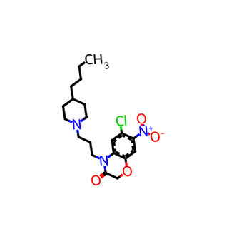 CCCCC1CCN(CCCN2C(=O)COc3cc([N+](=O)[O-])c(Cl)cc32)CC1